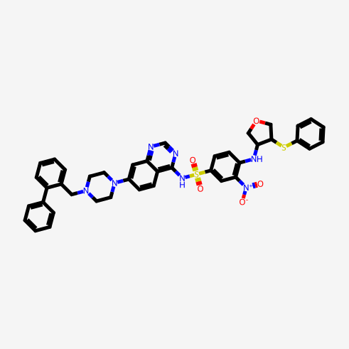 O=[N+]([O-])c1cc(S(=O)(=O)Nc2ncnc3cc(N4CCN(Cc5ccccc5-c5ccccc5)CC4)ccc23)ccc1NC1COCC1Sc1ccccc1